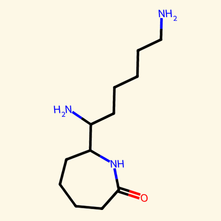 NCCCCCC(N)C1CCCCC(=O)N1